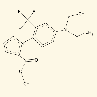 CCN(CC)c1ccc(-n2cccc2C(=O)OC)c(C(F)(F)F)c1